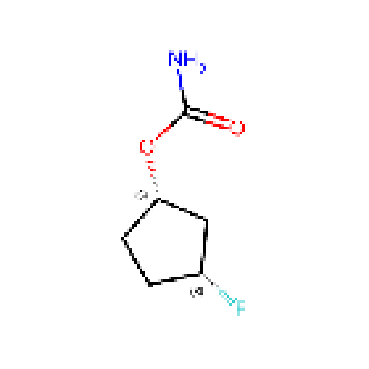 NC(=O)O[C@H]1CC[C@@H](F)C1